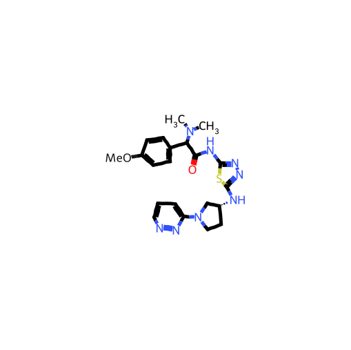 COc1ccc(C(C(=O)Nc2nnc(N[C@@H]3CCN(c4cccnn4)C3)s2)N(C)C)cc1